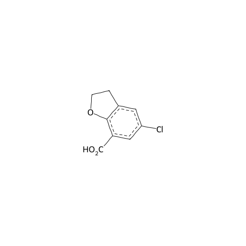 O=C(O)c1cc(Cl)cc2c1OCC2